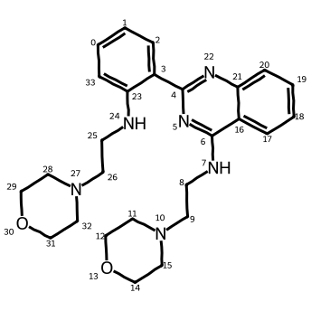 c1ccc(-c2nc(NCCN3CCOCC3)c3ccccc3n2)c(NCCN2CCOCC2)c1